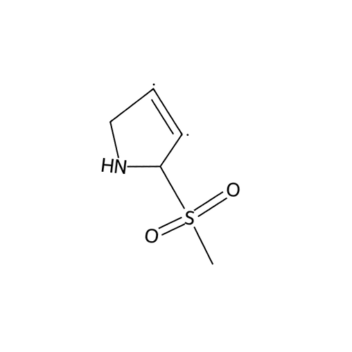 CS(=O)(=O)C1[C]=[C]CN1